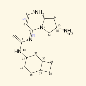 C=C(/N=C(\C=C/N)N1CC[C@H](N)C1)NC1CCC2CCC2C1